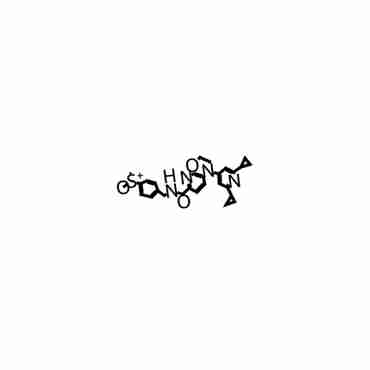 C[S+]([O-])c1ccc(CNC(=O)c2ccc3c(n2)OCCN3c2cc(C3CC3)nc(C3CC3)c2)cc1